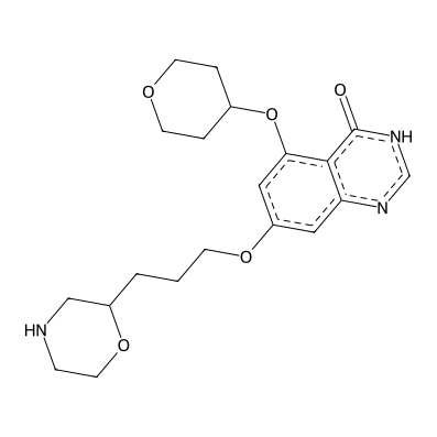 O=c1[nH]cnc2cc(OCCCC3CNCCO3)cc(OC3CCOCC3)c12